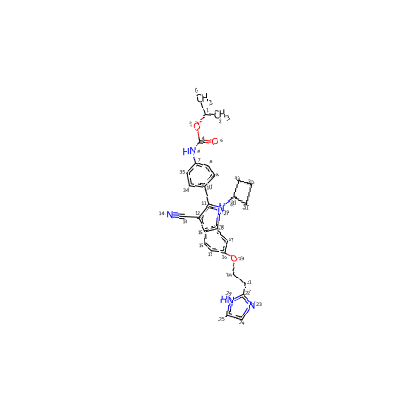 CC(C)OC(=O)Nc1ccc(-c2c(C#N)c3ccc(OCCc4ncc[nH]4)cc3n2C2CCC2)cc1